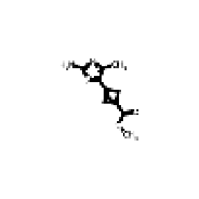 COC(=O)C12CC(c3sc(N)nc3C)(C1)C2